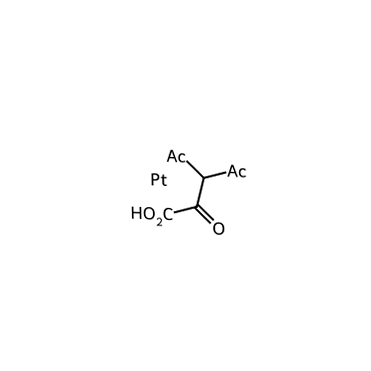 CC(=O)C(C(C)=O)C(=O)C(=O)O.[Pt]